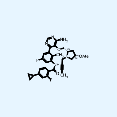 CC#CCN1C[C@@H](OC)C[C@H]1COc1c(N)ncnc1-c1cc(F)cc(NC(=O)c2ccc(C3CC3)cc2F)c1C